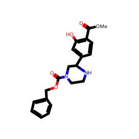 COC(=O)c1ccc(C2CN(C(=O)OCc3ccccc3)CCN2)cc1O